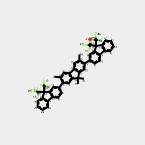 Cc1cc2c(cc1-c1ccc3c(c1)C(C(F)(F)F)(C(F)(F)F)c1ccccc1-3)C(C)(C)c1cc(-c3ccc4c(c3)C(C(F)(F)F)(C(F)(F)F)c3ccccc3-4)c(C)cc1-2